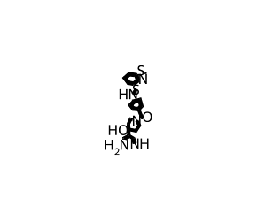 N=C/C(=C\N)C1(O)CCN(C(=O)c2ccc(NSc3cccc4scnc34)cc2)CC1